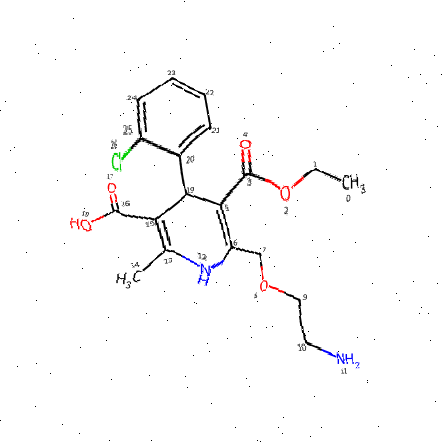 CCOC(=O)C1=C(COCCN)NC(C)=C(C(=O)O)C1c1ccccc1Cl